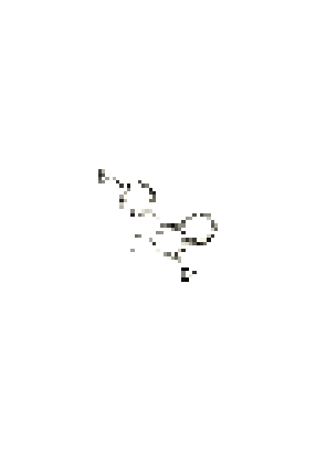 CC1(C)c2cc(Br)ccc2-c2c1cc(Br)c1ccccc21